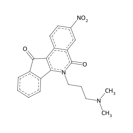 CN(C)CCCn1c2c(c3ccc([N+](=O)[O-])cc3c1=O)C(=O)c1ccccc1-2